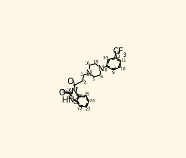 O=C(CCN1CCN(c2cccc(C(F)(F)F)c2)CC1)n1c(=O)[nH]c2ccccc21